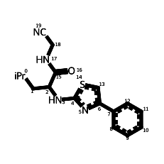 CC(C)CC(Nc1nc(-c2ccccc2)cs1)C(=O)NCC#N